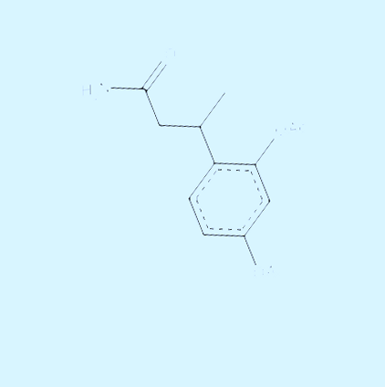 CC(=O)Oc1ccc(C(C)CC(N)=O)c(OC(C)=O)c1